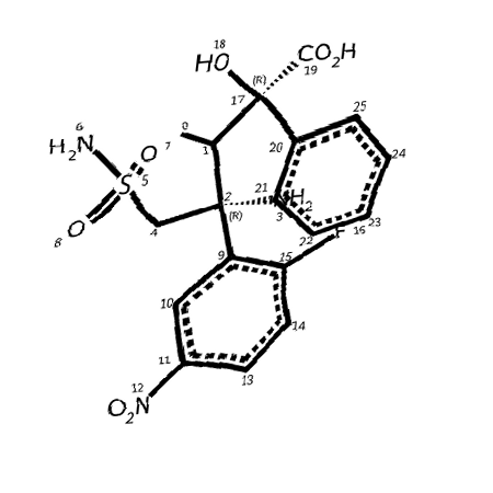 CC([C@](N)(CS(N)(=O)=O)c1cc([N+](=O)[O-])ccc1F)[C@](O)(C(=O)O)c1ccccc1